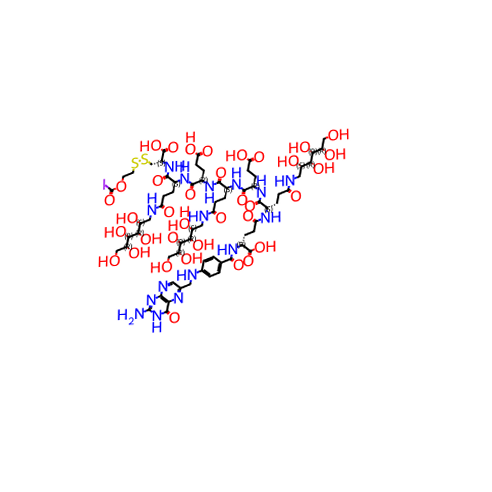 Nc1nc2ncc(CNc3ccc(C(=O)N[C@H](CCC(=O)N[C@@H](CCC(=O)NC[C@H](O)[C@@H](O)[C@H](O)[C@H](O)CO)C(=O)N[C@H](CCC(=O)O)C(=O)N[C@@H](CCC(=O)NC[C@H](O)[C@@H](O)[C@H](O)[C@H](O)CO)C(=O)N[C@H](CCC(=O)O)C(=O)N[C@@H](CCC(=O)NC[C@H](O)[C@@H](O)[C@H](O)[C@H](O)CO)C(=O)N[C@H](CSSCCOC(=O)I)C(=O)O)C(=O)O)cc3)nc2c(=O)[nH]1